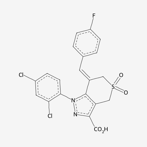 O=C(O)c1nn(-c2ccc(Cl)cc2Cl)c2c1CS(=O)(=O)C/C2=C\c1ccc(F)cc1